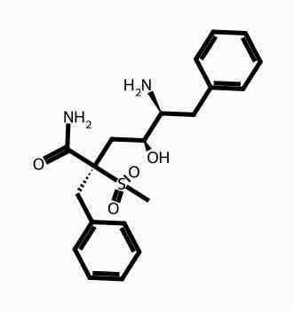 CS(=O)(=O)[C@](Cc1ccccc1)(C[C@H](O)[C@@H](N)Cc1ccccc1)C(N)=O